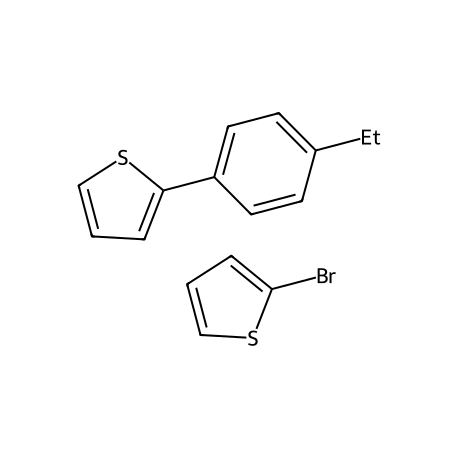 Brc1cccs1.CCc1ccc(-c2cccs2)cc1